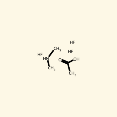 CC(=O)O.CNC.F.F.F